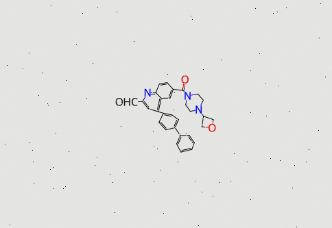 O=Cc1cc(-c2ccc(-c3ccccc3)cc2)c2cc(C(=O)N3CCN(C4COC4)CC3)ccc2n1